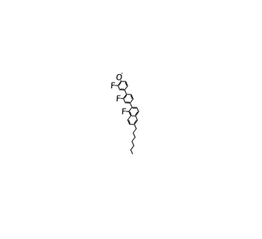 CCCCCCCc1ccc2c(F)c(-c3ccc(-c4ccc(OC)c(F)c4)c(F)c3)ccc2c1